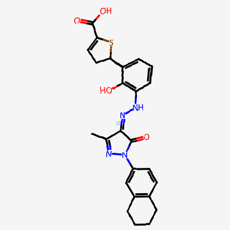 CC1=NN(c2ccc3c(c2)CCCC3)C(=O)/C1=N\Nc1cccc(C2CC=C(C(=O)O)S2)c1O